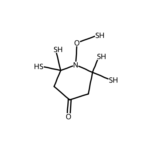 O=C1CC(S)(S)N(OS)C(S)(S)C1